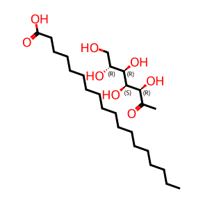 CC(=O)[C@H](O)[C@@H](O)[C@H](O)[C@H](O)CO.CCCCCCCCCCCCCCCCCC(=O)O